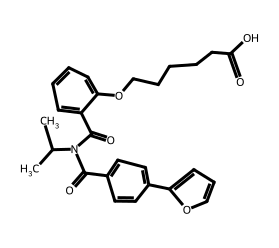 CC(C)N(C(=O)c1ccc(-c2ccco2)cc1)C(=O)c1ccccc1OCCCCCC(=O)O